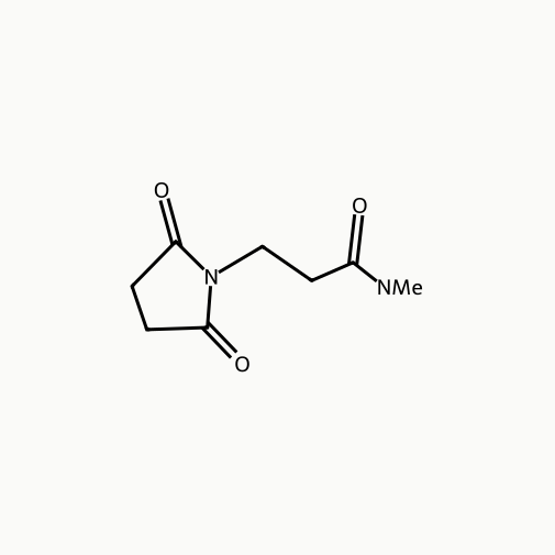 CNC(=O)CCN1C(=O)CCC1=O